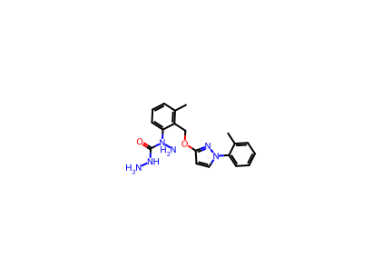 Cc1ccccc1-n1ccc(OCc2c(C)cccc2N(N)C(=O)NN)n1